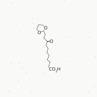 O=C(O)CCCCCCCC(=O)CCC1OCCCO1